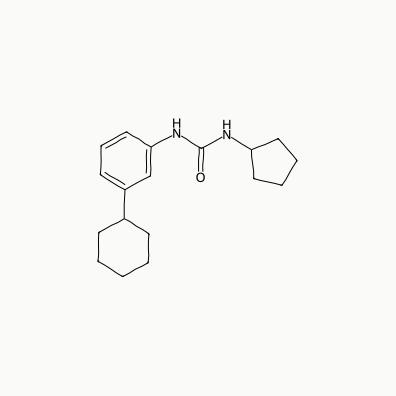 O=C(Nc1cccc(C2CCCCC2)c1)NC1CCCC1